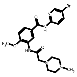 CN1CCN(CC(=O)Nc2cc(C(=O)Nc3ccc(Br)cn3)ccc2OC(F)(F)F)CC1